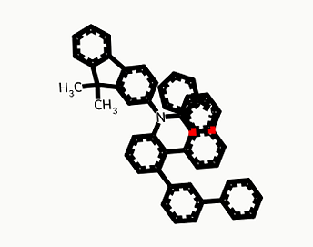 CC1(C)c2ccccc2-c2ccc(N(c3ccccc3)c3cccc(-c4cccc(-c5ccccc5)c4)c3-c3cccc4oc5ccccc5c34)cc21